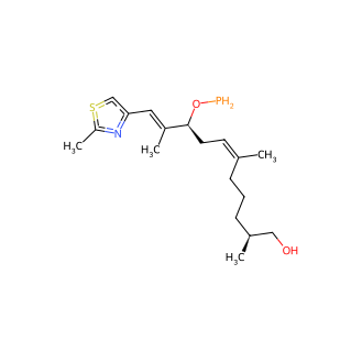 C/C(=C/C[C@H](OP)/C(C)=C/c1csc(C)n1)CCC[C@H](C)CO